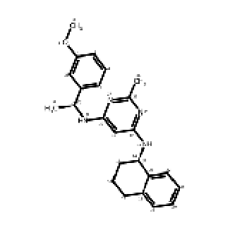 COc1cccc([C@H](C)Nc2cc(N[C@@H]3CCCc4ccccc43)nc(C)n2)c1